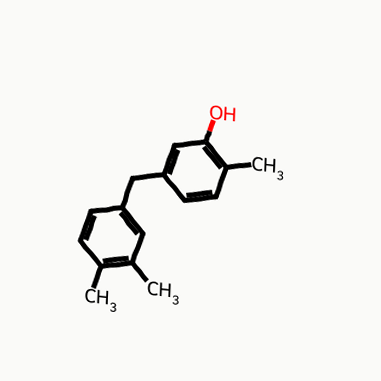 Cc1ccc(Cc2ccc(C)c(O)c2)cc1C